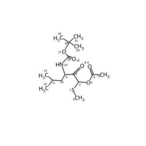 CSC(OC(C)=O)C(=O)C(CC(C)C)NC(=O)OC(C)(C)C